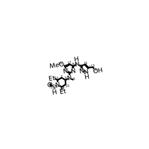 CCC1CC(N(C)c2nc(Nc3cc(CO)[nH]n3)cc(OC)n2)C[C@H](CC)N1[SH]=O